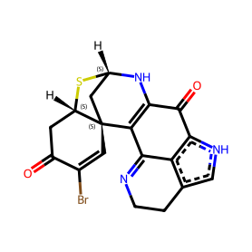 O=C1C[C@@H]2S[C@H]3C[C@]2(C=C1Br)C1=C(N3)C(=O)c2[nH]cc3c2C1=NCC3